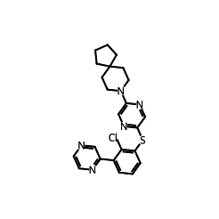 Clc1c(Sc2cnc(N3CCC4(CCCC4)CC3)cn2)cccc1-c1cnccn1